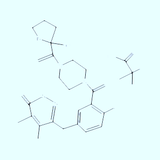 CCCC1(C(=O)N2CCN(C(=O)c3cc(Cc4n[nH]c(=O)c(C)c4C)ccc3F)CC2)CCCN1.O=C(O)C(F)(F)F